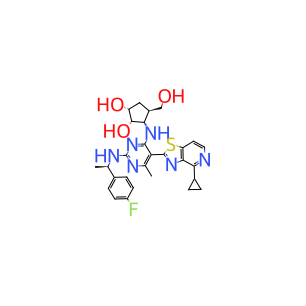 Cc1nc(N[C@H](C)c2ccc(F)cc2)nc(N[C@@H]2[C@H](CO)C[C@@H](O)[C@H]2O)c1-c1nc2c(C3CC3)nccc2s1